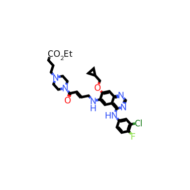 CCOC(=O)CCCN1CCN(C(=O)C=CCNc2cc3c(Nc4ccc(F)c(Cl)c4)ncnc3cc2OCC2CC2)CC1